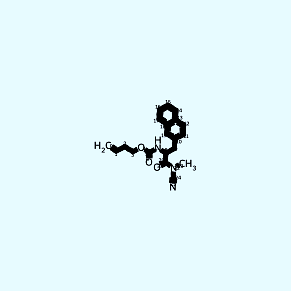 C=CCCOC(=O)NC(Cc1ccc2ccccc2c1)C(=O)N(C)C#N